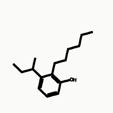 CCCCCCc1c(O)cccc1C(C)CC